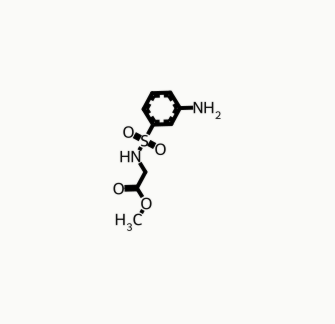 COC(=O)CNS(=O)(=O)c1cccc(N)c1